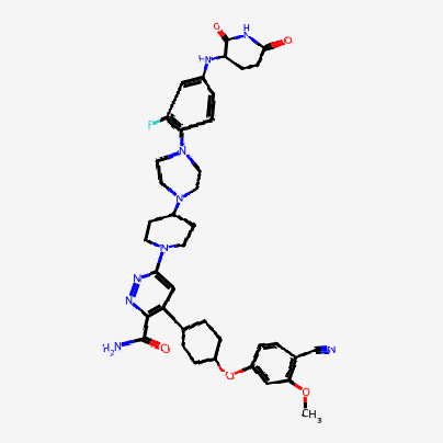 COc1cc(OC2CCC(c3cc(N4CCC(N5CCN(c6ccc(NC7CCC(=O)NC7=O)cc6F)CC5)CC4)nnc3C(N)=O)CC2)ccc1C#N